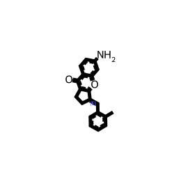 Cc1ccccc1/C=C1\CCc2c1oc1cc(N)ccc1c2=O